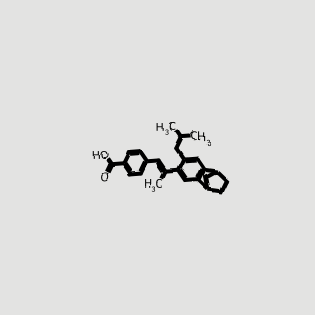 CC(=Cc1ccc(C(=O)O)cc1)c1cc2c(cc1CC(C)C)C1CCC2C1